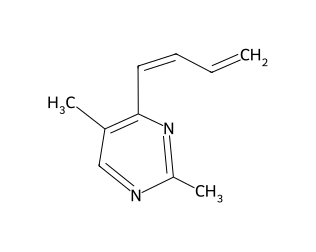 C=C/C=C\c1nc(C)ncc1C